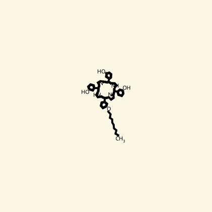 CCCCCCCCCCCOc1cccc(-c2c3nc(c(-c4cccc(O)c4)c4ccc([nH]4)c(-c4cccc(O)c4)c4nc(c(-c5cccc(O)c5)c5ccc2[nH]5)C=C4)C=C3)c1